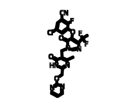 Cc1nc(COc2ncccn2)[nH]c(=O)c1Cn1cnc(C(C)(F)F)c(Oc2cc(Cl)cc(C#N)c2F)c1=O